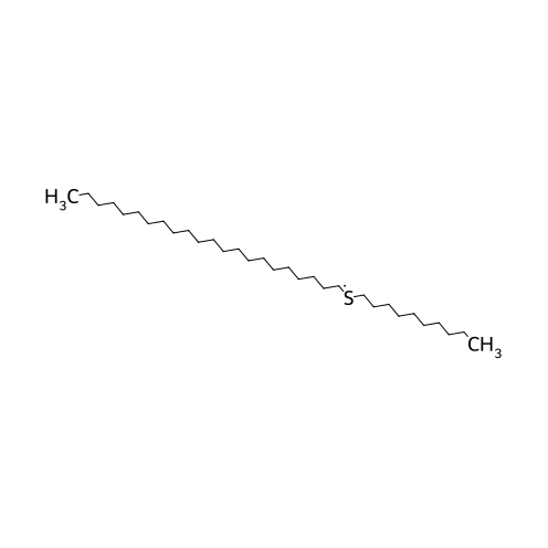 CCCCCCCCCCCCCCCCCCCCC[CH]SCCCCCCCCCC